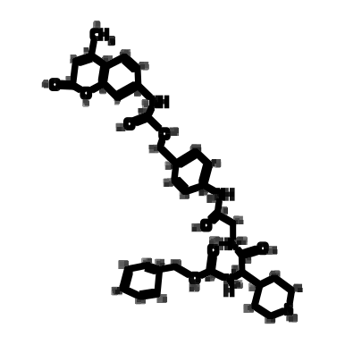 Cc1cc(=O)oc2cc(NC(=O)OCc3ccc(NC(=O)CNC(=O)C(NC(=O)OCc4ccccc4)C4CCSCC4)cc3)ccc12